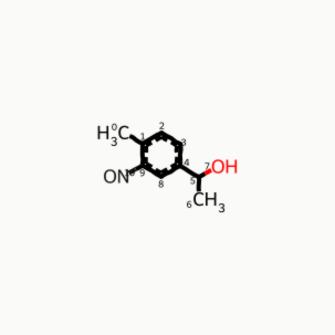 Cc1ccc(C(C)O)cc1N=O